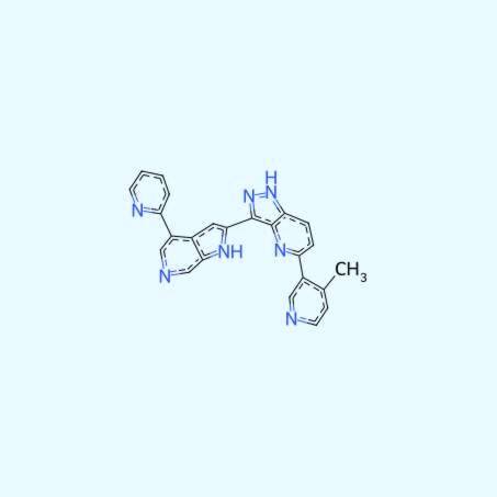 Cc1ccncc1-c1ccc2[nH]nc(-c3cc4c(-c5ccccn5)cncc4[nH]3)c2n1